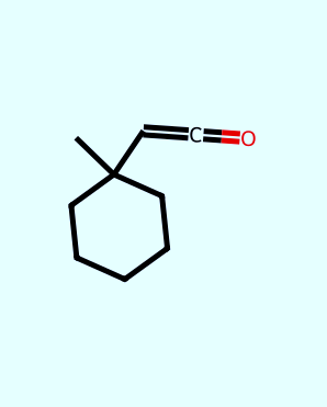 CC1(C=C=O)CCCCC1